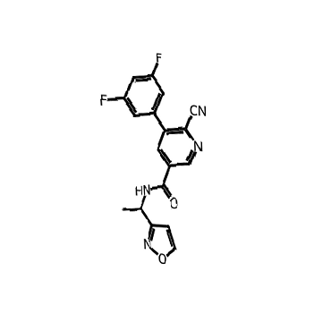 CC(NC(=O)c1cnc(C#N)c(-c2cc(F)cc(F)c2)c1)c1ccon1